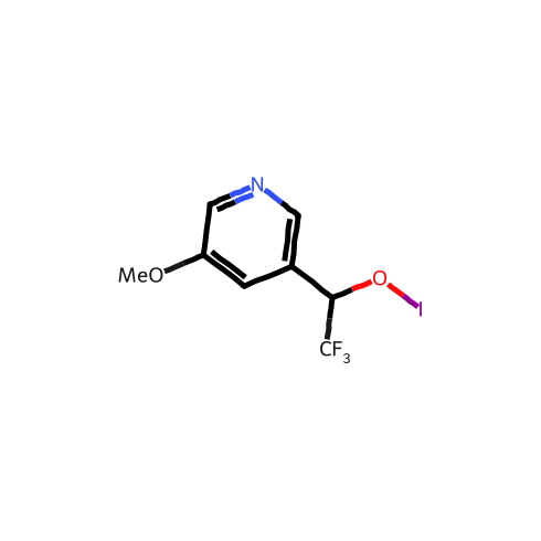 COc1cncc(C(OI)C(F)(F)F)c1